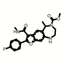 CNC(=O)c1c(-c2ccc(F)cc2)oc2cc3c(cc12)C(C)N(C(=O)OC)CCN3